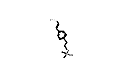 CCOC(=O)/C=C/c1ccc(CCO[Si](C)(C)C(C)(C)C)cc1